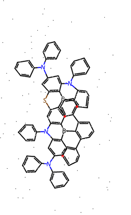 c1ccc(-c2cccc(-c3ccccc3)c2B2c3ccc(N(c4ccccc4)c4ccccc4)cc3N(c3ccccc3)c3cc4c(cc32)B2c3ccccc3N(c3ccccc3)c3cc(N(c5ccccc5)c5ccccc5)cc(c32)S4)cc1